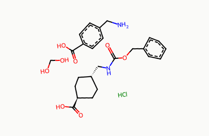 Cl.NCc1ccc(C(=O)O)cc1.O=C(NC[C@H]1CC[C@H](C(=O)O)CC1)OCc1ccccc1.OCO